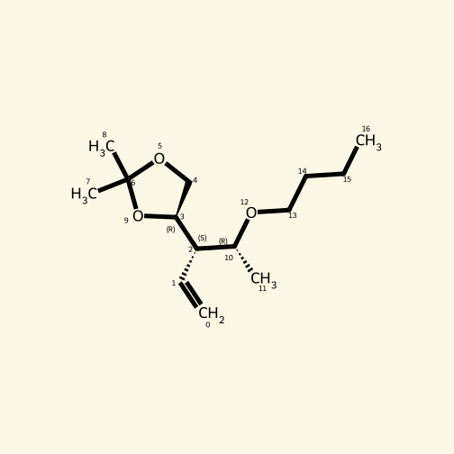 C=C[C@H]([C@@H]1COC(C)(C)O1)[C@@H](C)OCCCC